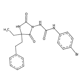 CCC1(CCc2ccccc2)NC(=O)N(NC(=O)Nc2ccc(Br)cc2)C1=O